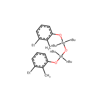 CCC[CH2][Sn]([CH2]CCC)([O]c1cccc(CC)c1C)[O][Sn]([CH2]CCC)([CH2]CCC)[O]c1cccc(CC)c1C